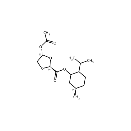 CC(=O)O[C@H]1CS[C@H](C(=O)OC2C[C@H](C)CCC2C(C)C)O1